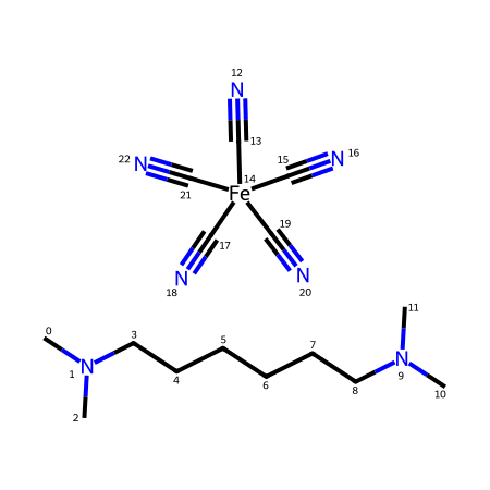 CN(C)CCCCCCN(C)C.N#[C][Fe]([C]#N)([C]#N)([C]#N)[C]#N